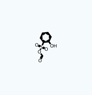 O=COS(=O)(=O)c1ccccc1O